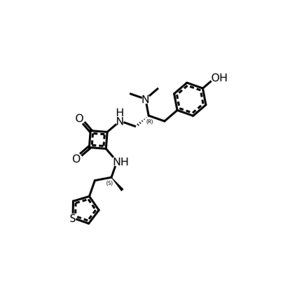 C[C@@H](Cc1ccsc1)Nc1c(NC[C@@H](Cc2ccc(O)cc2)N(C)C)c(=O)c1=O